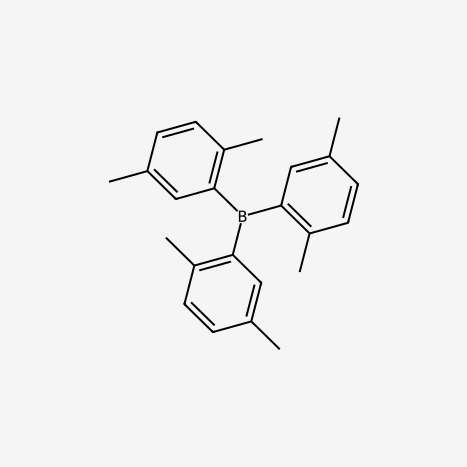 Cc1ccc(C)c(B(c2cc(C)ccc2C)c2cc(C)ccc2C)c1